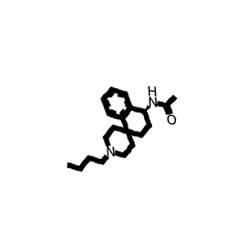 CCCCN1CCC2(CC[C@H](NC(C)=O)c3ccccc32)CC1